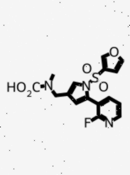 CN(Cc1cc(-c2cccnc2F)n(S(=O)(=O)c2ccoc2)c1)C(=O)O